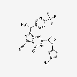 CC(c1ccc(C(F)(F)F)nc1)n1nc(C#N)c2c(=O)[nH]c([C@@H]3CC[C@H]3c3ccn(C)n3)nc21